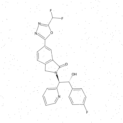 O=C1c2cc(-c3nnc(C(F)F)o3)ccc2CN1[C@H](c1ccccn1)[C@H](O)c1ccc(F)cc1